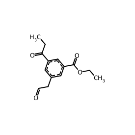 CCOC(=O)c1cc(CC=O)cc(C(=O)CC)c1